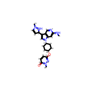 CNc1cc2c(cn1)c(C1C=CN(C)N1)cn2[C@H]1CC[C@@H](Oc2ccc(=O)n(C)n2)CC1